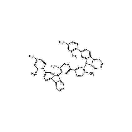 Cc1ccc(-c2ccc3c4ccccc4n(-c4cc(-c5ccc(C(F)(F)F)c(-n6c7ccccc7c7ccc(-c8ccc(C)cc8C)cc76)c5)ccc4C(F)(F)F)c3c2)c(C)c1